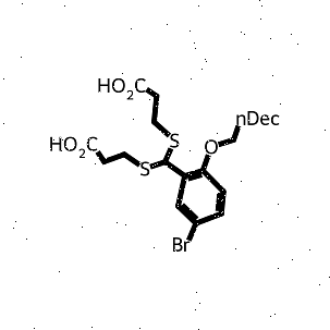 CCCCCCCCCCCOc1ccc(Br)cc1C(SCCC(=O)O)SCCC(=O)O